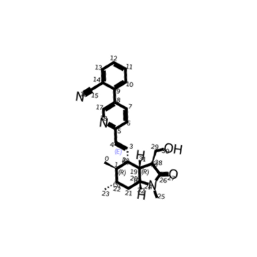 C[C@H]1[C@H](/C=C/c2ccc(-c3ccccc3C#N)cn2)[C@H]2[C@@H](C[C@@H]1C)N(C)C(=O)[C@@H]2CO